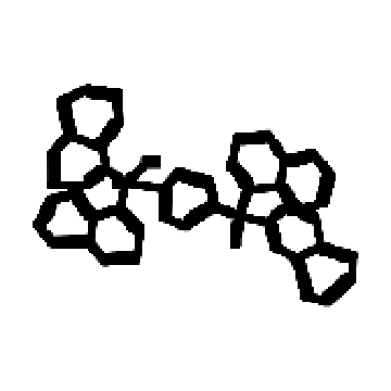 O=P(c1ccc([PH](O)(c2cccc3ccccc23)c2cccc3ccccc23)cc1)(c1ccc2ccccc2c1)c1cccc2ccccc12